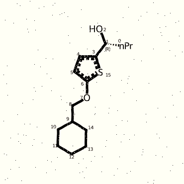 CCC[C@@H](O)c1ccc(OCC2CCCCC2)s1